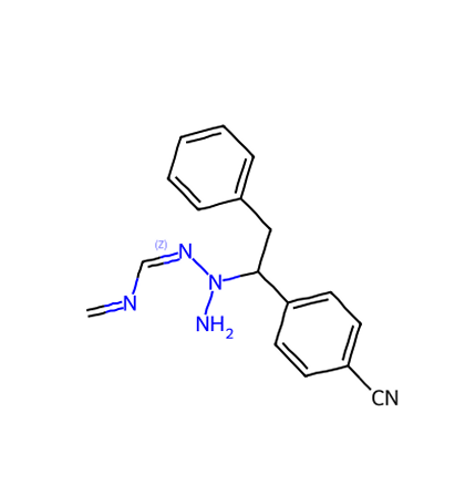 C=N/C=N\N(N)C(Cc1ccccc1)c1ccc(C#N)cc1